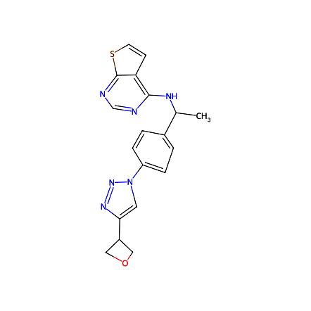 CC(Nc1ncnc2sccc12)c1ccc(-n2cc(C3COC3)nn2)cc1